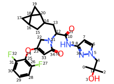 CC(C)(O)Cn1ccc(NC(=O)C(CC2CC3CC34CC24)N2CC(Oc3c(F)cccc3F)=CC2=O)n1